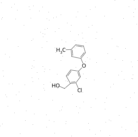 Cc1cccc(Oc2ccc(CO)c(Cl)c2)c1